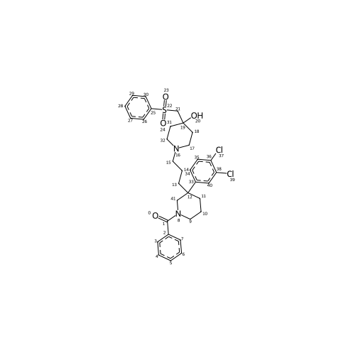 O=C(c1ccccc1)N1CCCC(CCCN2CCC(O)(CS(=O)(=O)c3ccccc3)CC2)(c2ccc(Cl)c(Cl)c2)C1